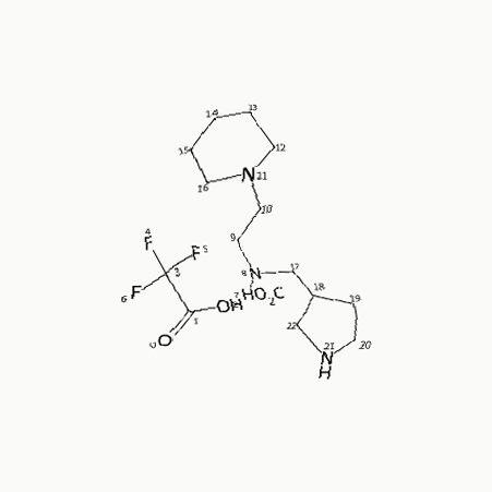 O=C(O)C(F)(F)F.O=C(O)N(CCN1CCCCC1)CC1CCNC1